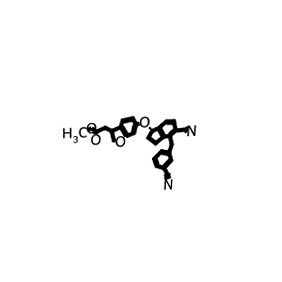 COC(=O)CC1COc2cc(O[C@@H]3CCc4c3ccc(C#N)c4Cc3cccc(C#N)c3)ccc21